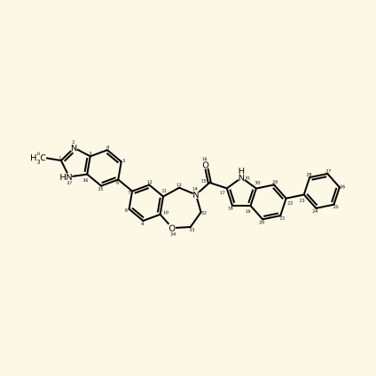 Cc1nc2ccc(-c3ccc4c(c3)CN(C(=O)c3cc5ccc(-c6ccccc6)cc5[nH]3)CCO4)cc2[nH]1